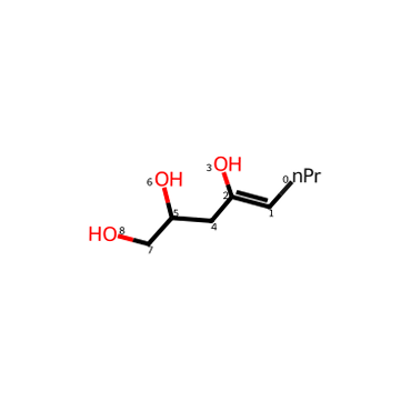 CCCC=C(O)CC(O)CO